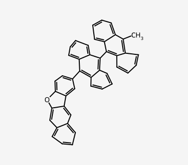 Cc1c2ccccc2c(-c2c3ccccc3c(-c3ccc4oc5cc6ccccc6cc5c4c3)c3ccccc23)c2ccccc12